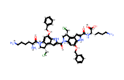 NCCCC[C@H](NC(=O)c1cc2c3c(cc(OCc4ccccc4)c2[nH]1)N(C(=O)c1cc2c4c(cc(OCc5ccccc5)c2[nH]1)N(C(=O)[C@@H](N)CCCCN)C[C@H]4CCl)C[C@H]3CCl)C(=O)O